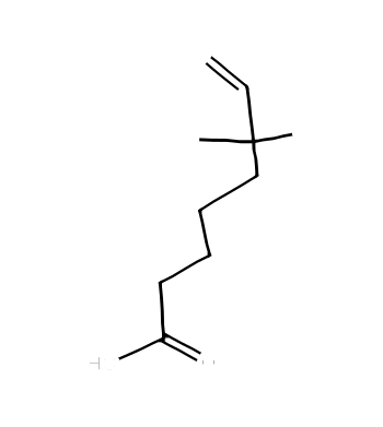 C=CC(C)(C)CCCCC(=O)O